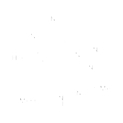 COCCNc1ccc(Nc2nccc(-c3cc(C#N)c4c(c3)C(C)(CO)CN4)n2)c(OC)n1